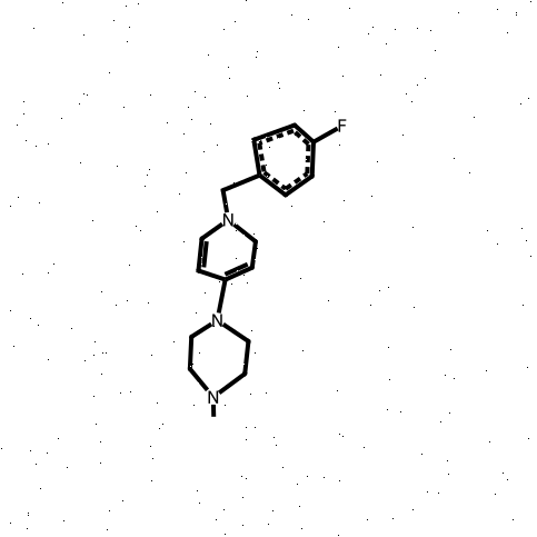 CN1CCN(C2=CCN(Cc3ccc(F)cc3)C=C2)CC1